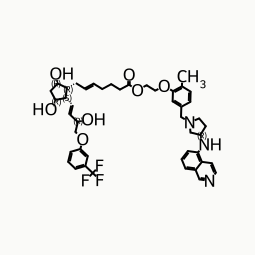 Cc1ccc(CN2CC[C@@H](Nc3cccc4cnccc34)C2)cc1OCCOC(=O)CCCC=CC[C@@H]1[C@H](C=C[C@@H](O)COc2cccc(C(F)(F)F)c2)[C@H](O)C[C@H]1O